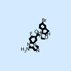 Nc1nc2cc(F)c(C(=O)N3CCO[C@@H]4Cc5cc(Br)ccc5[C@@H]43)cc2n2cncc12